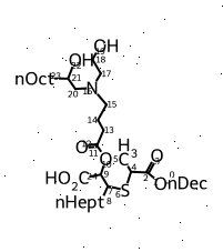 CCCCCCCCCCOC(=O)C(C)SC(CCCCCCC)C(OC(=O)CCCN(CCO)CC(O)CCCCCCCC)C(=O)O